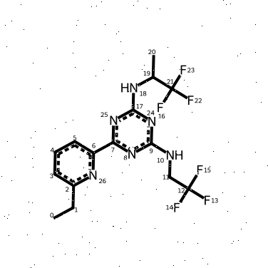 CCc1cccc(-c2nc(NCC(F)(F)F)nc(NC(C)C(F)(F)F)n2)n1